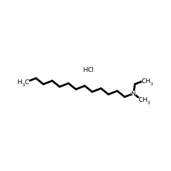 CCCCCCCCCCCCCN(C)CC.Cl